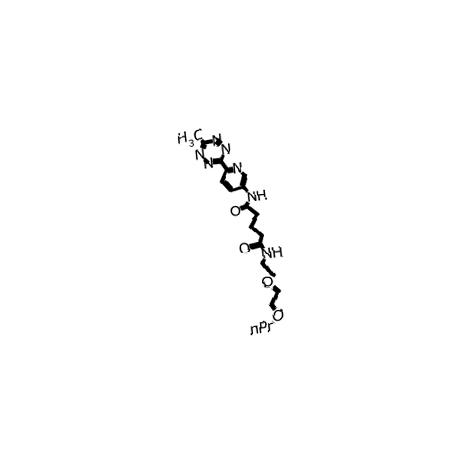 CCCOCCOCCNC(=O)CCCC(=O)Nc1ccc(-c2nnc(C)nn2)nc1